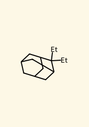 [CH2]CC1(CC)C2CC3CC(C2)CC1C3